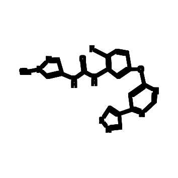 CC(C)(C)n1cc(NC(=O)Nc2cc(Oc3cc(-c4cnsc4)ncn3)ccc2F)cn1